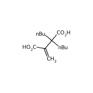 C=C(C(=O)O)C(CCCC)(CCCC)C(=O)O